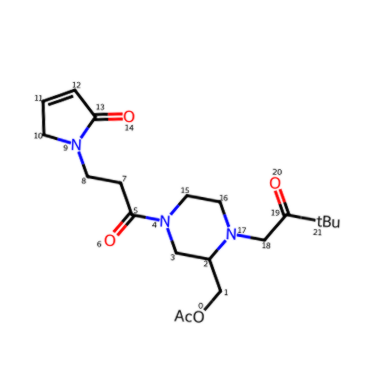 CC(=O)OCC1CN(C(=O)CCN2CC=CC2=O)CCN1CC(=O)C(C)(C)C